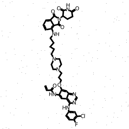 C=CC(=O)Nc1cc2c(Nc3ccc(F)c(Cl)c3)ncnc2cc1OCCCN1CCN(CCCCCNc2cccc3c2C(=O)N(C2CCC(=O)NC2=O)C3=O)CC1